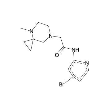 CN1CCN(CC(=O)Nc2cc(Br)ccn2)CC12CC2